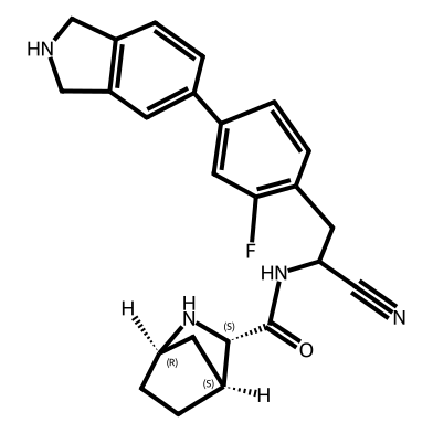 N#CC(Cc1ccc(-c2ccc3c(c2)CNC3)cc1F)NC(=O)[C@H]1N[C@@H]2CC[C@H]1C2